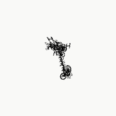 CCC(=O)[C@H](C)NC(=O)[C@@H](NC(=O)[C@H](CS(=O)(=O)O)NC(=O)CCCCCCCN1C(=O)C=CC1=O)C(C)C